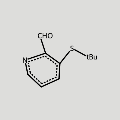 CC(C)(C)Sc1cccnc1C=O